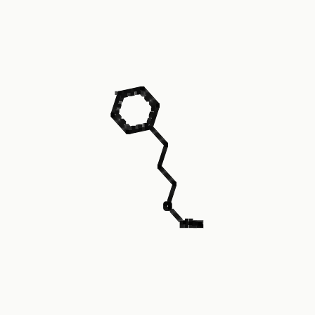 CCCCCCOCCCc1cc[c]cc1